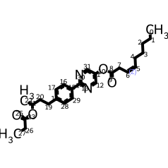 CCCCC/C=C\CC(=O)Oc1cnc(-c2ccc(CCC(C)OC(=O)CC)cc2)nc1